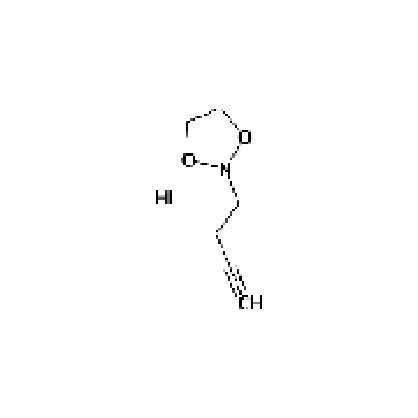 C#CCCN1OCCO1.I